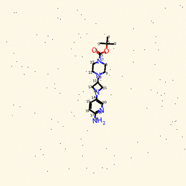 CC(C)(C)OC(=O)N1CCN(C2CN(c3ccc(N)nc3)C2)CC1